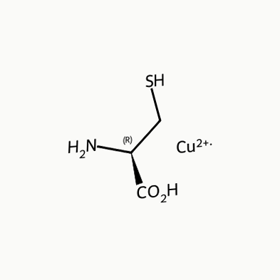 N[C@@H](CS)C(=O)O.[Cu+2]